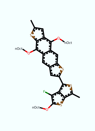 CCCCCCCCOc1sc2c(C)sc(-c3cc4cc5c(OCCCCCCCC)c6sc(C)cc6c(OCCCCCCCC)c5cc4s3)c2c1F